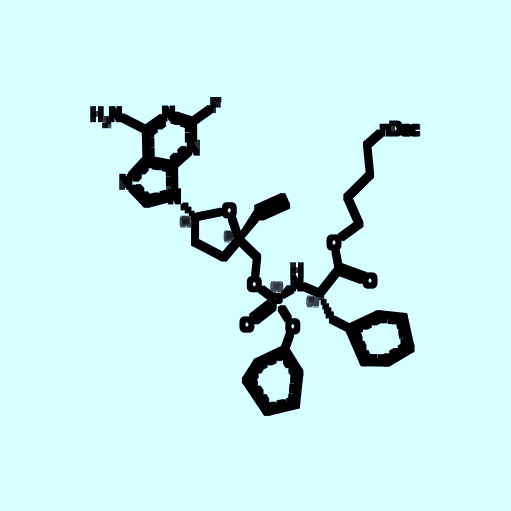 C#C[C@@]1(CO[P@](=O)(N[C@@H](Cc2ccccc2)C(=O)OCCCCCCCCCCCCCC)Oc2ccccc2)CC[C@H](n2cnc3c(N)nc(F)nc32)O1